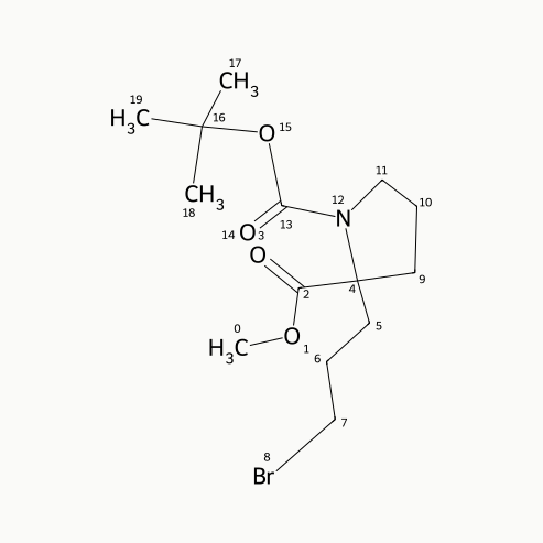 COC(=O)C1(CCCBr)CCCN1C(=O)OC(C)(C)C